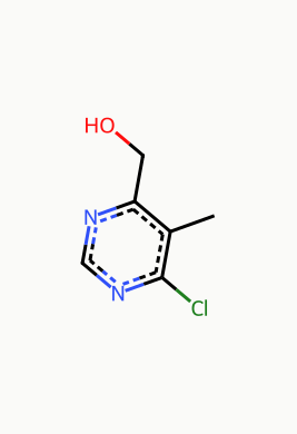 Cc1c(Cl)ncnc1CO